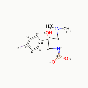 CN(C)CC(O)(CN=S(=O)=O)c1ccc(I)cc1